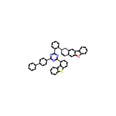 C1=CC(c2ccccc2-c2nc(-c3ccc(-c4ccccc4)cc3)nc(-c3cccc4sc5ccccc5c34)n2)Cc2cc3c(cc21)oc1ccccc13